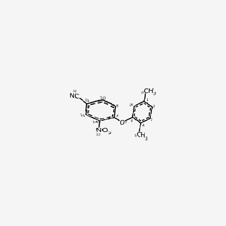 Cc1ccc(C)c(Oc2ccc(C#N)cc2[N+](=O)[O-])c1